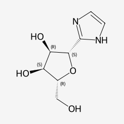 OC[C@H]1O[C@@H](c2ncc[nH]2)[C@H](O)[C@@H]1O